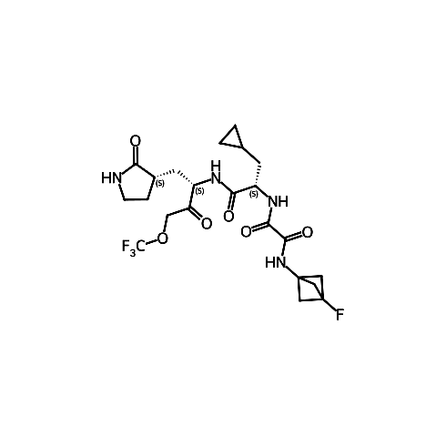 O=C(N[C@@H](CC1CC1)C(=O)N[C@@H](C[C@@H]1CCNC1=O)C(=O)COC(F)(F)F)C(=O)NC12CC(F)(C1)C2